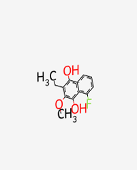 CCc1c(OC)c(O)c2c(F)cccc2c1O